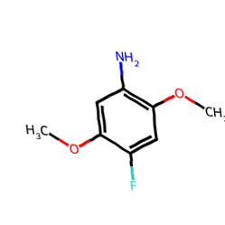 COc1cc(F)c(OC)cc1N